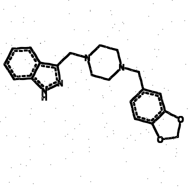 c1ccc2c(CN3CCN(Cc4ccc5c(c4)OCO5)CC3)n[nH]c2c1